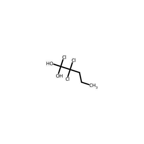 CCCC(Cl)(Cl)C(O)(O)Cl